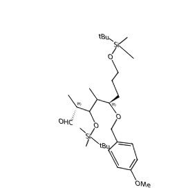 COc1ccc(CO[C@H](CCCO[Si](C)(C)C(C)(C)C)C(C)C(O[Si](C)(C)C(C)(C)C)[C@@H](C)C=O)cc1